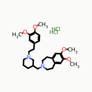 COc1ccc(CCN2CCCC(CN3CCc4cc(OC)c(OC)cc4CC3)C2)cc1OC.Cl.Cl